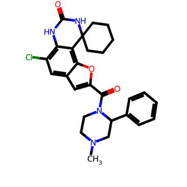 CN1CCN(C(=O)c2cc3cc(Cl)c4c(c3o2)C2(CCCCC2)NC(=O)N4)C(c2ccccc2)C1